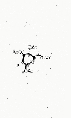 CC(=O)OC[C@H]1OC(OC(C)=O)[C@H](I)[C@@H](OC(C)=O)[C@@H]1OC(C)=O